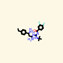 CCc1ccc(C(N)CC(N)N/C(=N\C(=O)c2ccc(F)c(F)c2)NC(C)(C)C)cc1